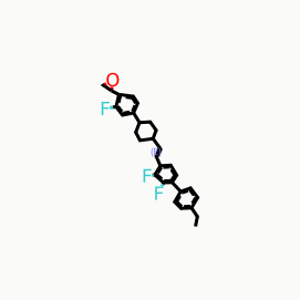 CCc1ccc(-c2ccc(/C=C/C3CCC(c4ccc(C5CO5)c(F)c4)CC3)c(F)c2F)cc1